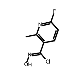 Cc1nc(F)ccc1C(Cl)=NO